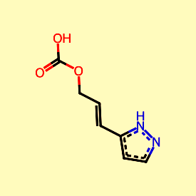 O=C(O)OCC=Cc1ccn[nH]1